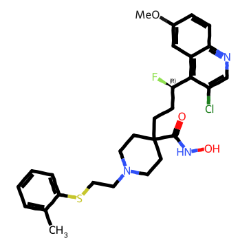 COc1ccc2ncc(Cl)c([C@H](F)CCC3(C(=O)NO)CCN(CCSc4ccccc4C)CC3)c2c1